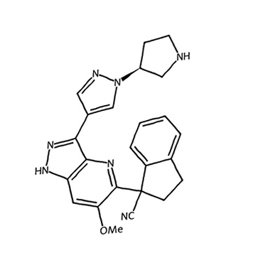 COc1cc2[nH]nc(-c3cnn([C@H]4CCNC4)c3)c2nc1C1(C#N)CCc2ccccc21